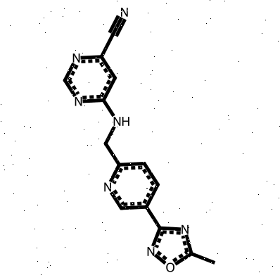 Cc1nc(-c2ccc(CNc3cc(C#N)ncn3)nc2)no1